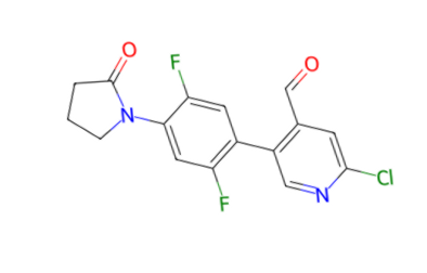 O=Cc1cc(Cl)ncc1-c1cc(F)c(N2CCCC2=O)cc1F